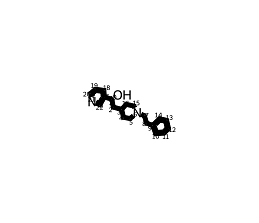 OC(CC1CCN(CCc2ccccc2)CC1)c1cccnc1